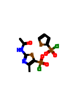 CC(=O)Nc1nc(C)c(S(=O)(=O)Cl)s1.O=S(=O)(Cl)c1cccs1